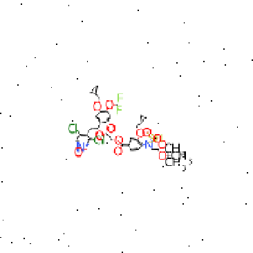 CC(C)(C)OC(=O)CN(c1ccc(C(=O)OCC(=O)O[C@@H](Cc2c(Cl)c[n+]([O-])cc2Cl)c2ccc(OC(F)F)c(OCC3CC3)c2)cc1OCC1CC1)[SH](=O)=O